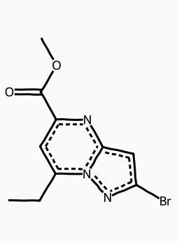 CCc1cc(C(=O)OC)nc2cc(Br)nn12